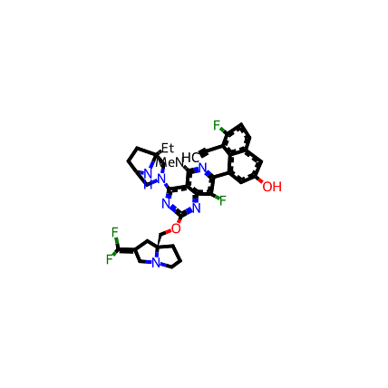 C#Cc1c(F)ccc2cc(O)cc(-c3nc(NC)c4c(N5CC6CCC(CC)(C5)N6)nc(OC[C@@]56CCCN5CC(=C(F)F)C6)nc4c3F)c12